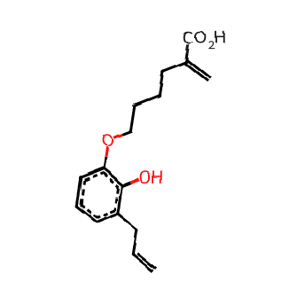 C=CCc1cccc(OCCCCC(=C)C(=O)O)c1O